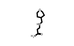 NC(=O)CCNCC1CCOCC1